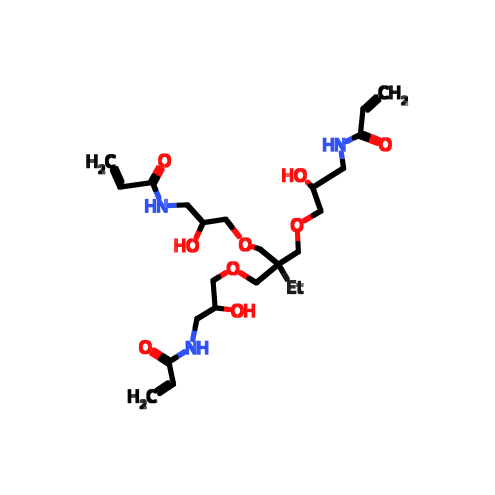 C=CC(=O)NCC(O)COCC(CC)(COCC(O)CNC(=O)C=C)COCC(O)CNC(=O)C=C